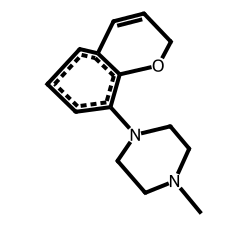 CN1CCN(c2cccc3c2OCC=C3)CC1